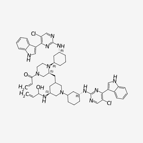 C=CC(=O)N1CCN([C@@H]2CCC[C@@H](Nc3ncc(Cl)c(-c4c[nH]c5ccccc45)n3)C2)[C@@H](CC2C[C@H](NC(O)C=C)CN(C3CCC[C@@H](Nc4ncc(Cl)c(-c5c[nH]c6ccccc56)n4)C3)C2)C1